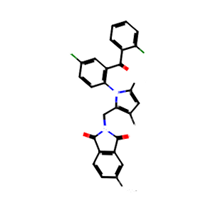 CCc1cc(C)n(-c2ccc(Cl)cc2C(=O)c2ccccc2Cl)c1CN1C(=O)c2ccc(OC)cc2C1=O